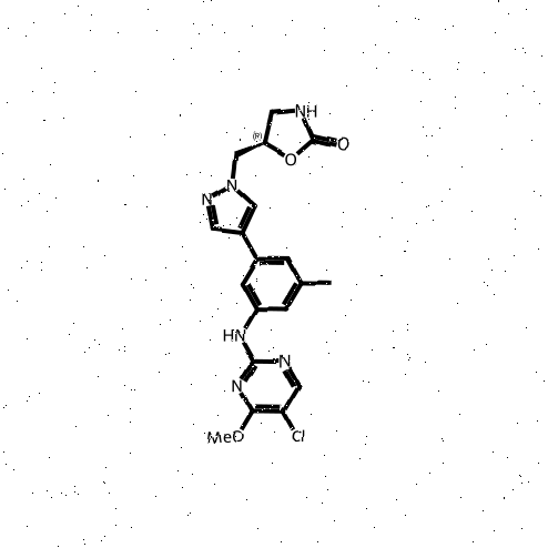 COc1nc(Nc2cc(C)cc(-c3cnn(C[C@H]4CNC(=O)O4)c3)c2)ncc1Cl